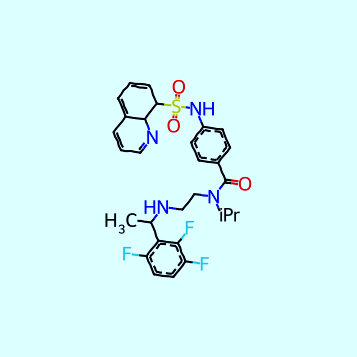 CC(NCCN(C(=O)c1ccc(NS(=O)(=O)C2C=CC=C3C=CC=NC32)cc1)C(C)C)c1c(F)ccc(F)c1F